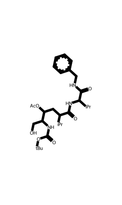 CC(=O)OC(CC(C(=O)NC(C(=O)NCc1ccccc1)C(C)C)C(C)C)C(CO)NC(=O)OC(C)(C)C